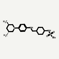 C[C@@H]1C[C@@H](C)CN(c2ccc(NCC3CCC(NS(=O)(=O)C(C)(C)C)CC3)cc2)C1